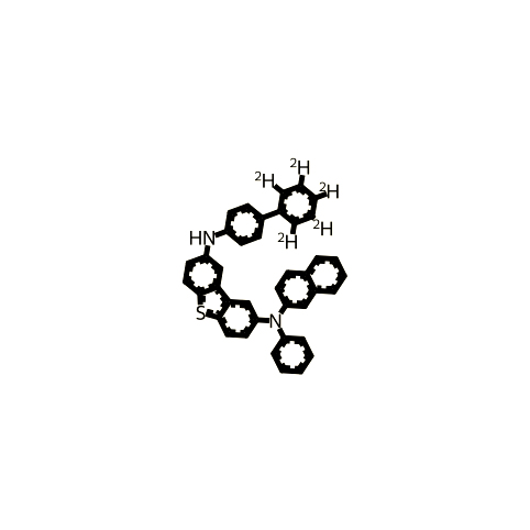 [2H]c1c([2H])c([2H])c(-c2ccc(Nc3ccc4sc5ccc(N(c6ccccc6)c6ccc7ccccc7c6)cc5c4c3)cc2)c([2H])c1[2H]